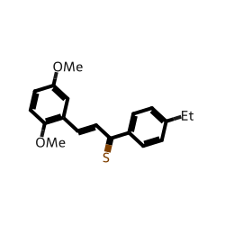 CCc1ccc(C(=S)C=Cc2cc(OC)ccc2OC)cc1